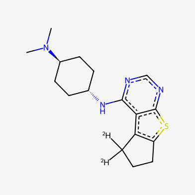 [2H]C1([2H])CCc2sc3ncnc(N[C@H]4CC[C@H](N(C)C)CC4)c3c21